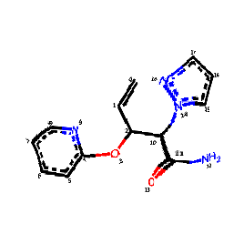 C=CC(Oc1ccccn1)C(C(N)=O)n1cccn1